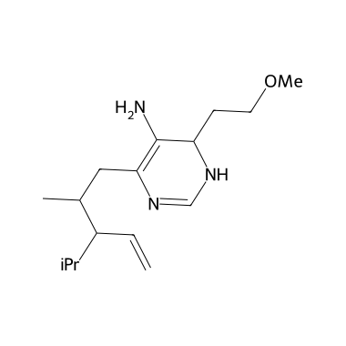 C=CC(C(C)C)C(C)CC1=C(N)C(CCOC)NC=N1